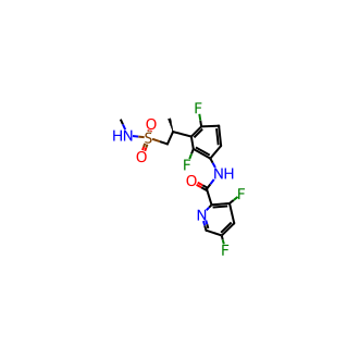 CNS(=O)(=O)C[C@@H](C)c1c(F)ccc(NC(=O)c2ncc(F)cc2F)c1F